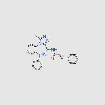 Cc1nnc2n1-c1ccccc1C(c1ccccc1)=NC2NC(=O)/C=C/c1ccccc1